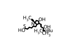 CC#CC12CC(O)C(C=CC(O)C(C)(C)CCCC)C1CC(CCCC(O)=S)=N2